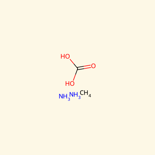 C.N.N.O=C(O)O